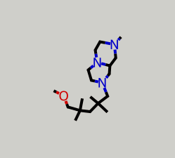 COCC(C)(C)CC(C)(C)CN1CCN2CCN(C)CC2C1